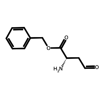 N[C@@H](CC=O)C(=O)OCc1ccccc1